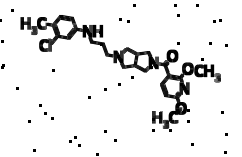 COc1ccc(C(=O)N2CC3CN(CCCNc4ccc(C)c(Cl)c4)CC3C2)c(OC)n1